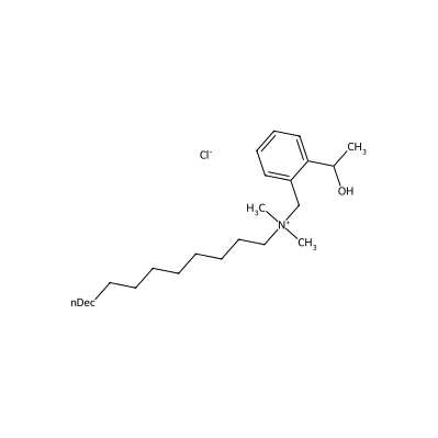 CCCCCCCCCCCCCCCCCC[N+](C)(C)Cc1ccccc1C(C)O.[Cl-]